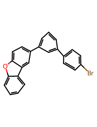 Brc1ccc(-c2cccc(-c3ccc4oc5ccccc5c4c3)c2)cc1